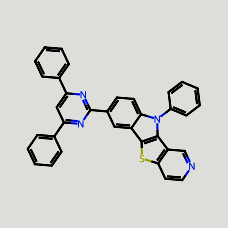 c1ccc(-c2cc(-c3ccccc3)nc(-c3ccc4c(c3)c3sc5ccncc5c3n4-c3ccccc3)n2)cc1